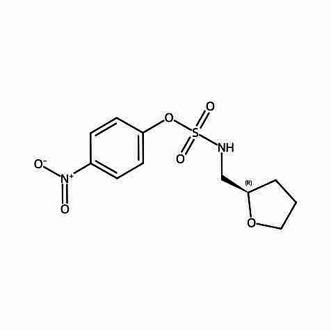 O=[N+]([O-])c1ccc(OS(=O)(=O)NC[C@H]2CCCO2)cc1